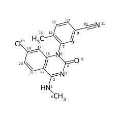 CNc1nc(=O)n(-c2cc(C#N)ccc2C)c2cc(Cl)ccc12